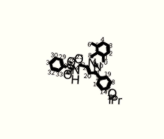 Cc1cccc(C)c1Cn1nc(-c2ccc(OC(C)C)cc2)cc1C(=O)NS(=O)(=O)c1ccccc1